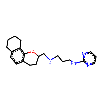 c1cnc(NCCCNCC2CCc3ccc4c(c3O2)CCCC4)nc1